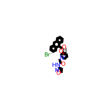 O=C(C[N+]12CCC(CC1)[C@@H](OC(=O)C1c3ccccc3Cc3ccccc31)C2)Nc1ccon1.[Br-]